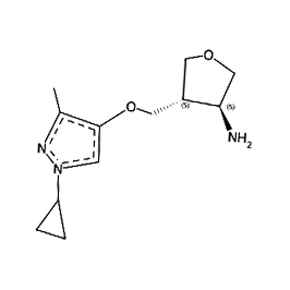 Cc1nn(C2CC2)cc1OC[C@@H]1COC[C@H]1N